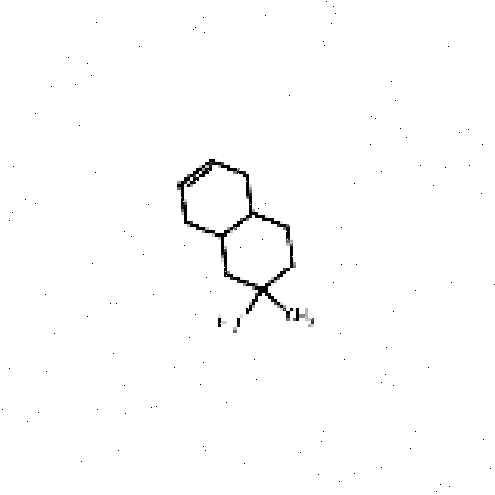 CC1(C)CCC2CC=CCC2C1